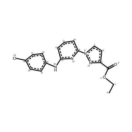 CCOC(=O)c1ccn(-c2cccc(Nc3ccc(Cl)cc3)n2)n1